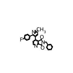 Cn1cc(-c2ccnc3c2C(=O)N(Cc2ccccc2)C3=O)c(-c2ccc(F)cc2)n1